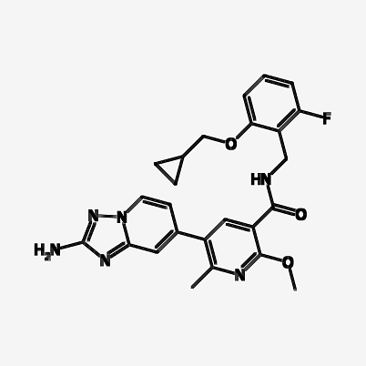 COc1nc(C)c(-c2ccn3nc(N)nc3c2)cc1C(=O)NCc1c(F)cccc1OCC1CC1